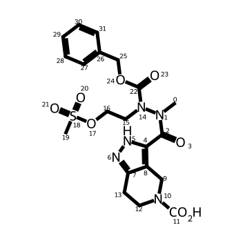 CN(C(=O)c1[nH]nc2c1CN(C(=O)O)CC2)N(CCOS(C)(=O)=O)C(=O)OCc1ccccc1